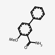 COc1ccc(-c2ccccc2)cc1C(N)=O